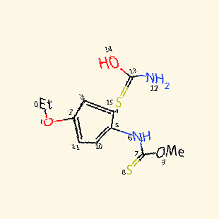 CCOc1ccc(NC(=S)OC)cc1.NC(O)=S